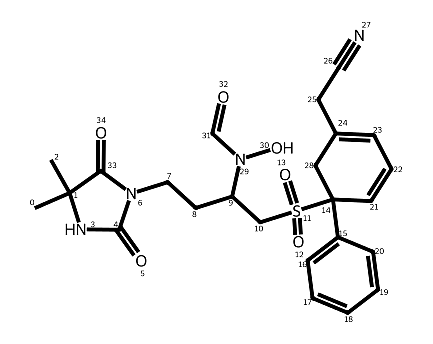 CC1(C)NC(=O)N(CCC(CS(=O)(=O)C2(c3ccccc3)C=CC=C(CC#N)C2)N(O)C=O)C1=O